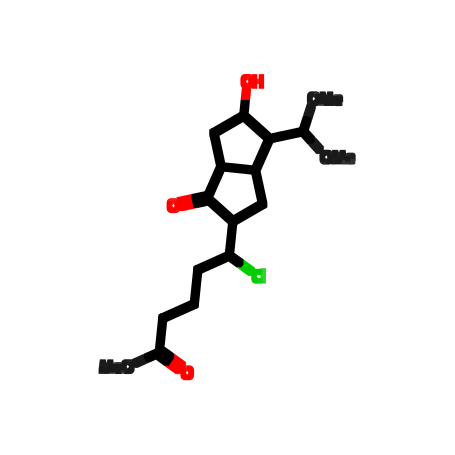 COC(=O)CCCC(Cl)C1CC2C(CC(O)C2C(OC)OC)C1=O